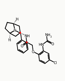 NC(=O)Nc1cc(Cl)ccc1OCC(=O)N[C@@H]1C[C@H]2CC[C@@H](C1)N2Cc1ccccc1